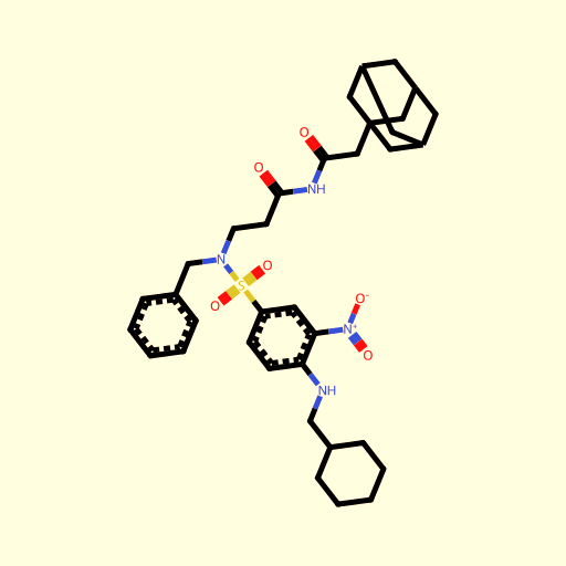 O=C(CCN(Cc1ccccc1)S(=O)(=O)c1ccc(NCC2CCCCC2)c([N+](=O)[O-])c1)NC(=O)CC12CC3CC(CC(C3)C1)C2